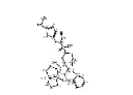 CCN[C@@](O)(CN(CC(C)C)S(=O)(=O)c1ccc2nc(NC(C)C)sc2c1)[C@H](Cc1ccccc1)N(C(=O)O)[C@H]1CCO[C@@H]2OCC[C@H]21